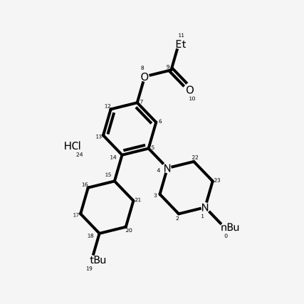 CCCCN1CCN(c2cc(OC(=O)CC)ccc2C2CCC(C(C)(C)C)CC2)CC1.Cl